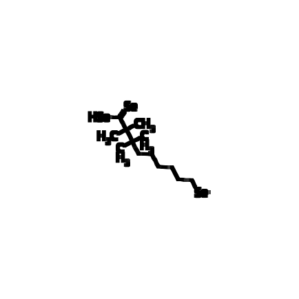 CC(C)(CCCCCC[Se])C(C)(C)C(=[Se])[SeH]